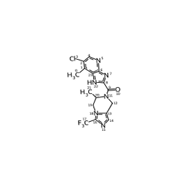 Cc1c(Cl)cnc2nc(C(=O)N3Cc4cnc(C(F)(F)F)n4CC3C)[nH]c12